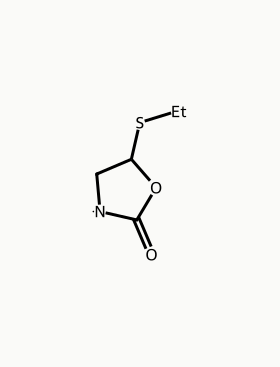 CCSC1C[N]C(=O)O1